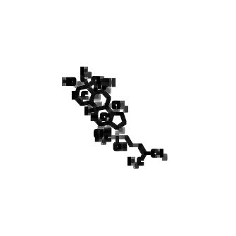 CC(C)=CCCC(C)(O)[C@H]1CC[C@]2(C)[C@@H]1[C@H](O)C[C@@H]1[C@@]3(C)CC[C@H](O)C(C)(C)[C@@H]3[C@@H](O)C[C@]12C